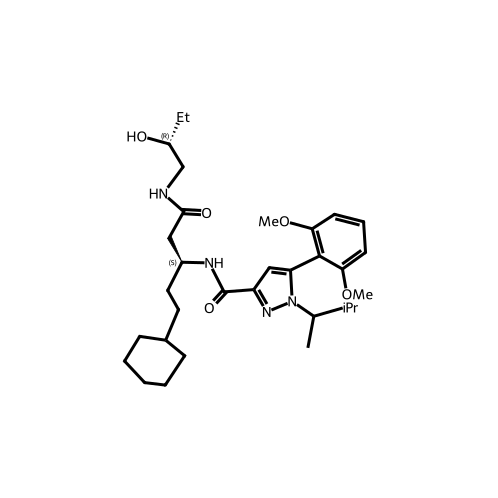 CC[C@@H](O)CNC(=O)C[C@H](CCC1CCCCC1)NC(=O)c1cc(-c2c(OC)cccc2OC)n(C(C)C(C)C)n1